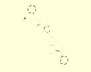 CO/C(=N\c1cc(C)ccc1C)N1CCC(c2nc(C3=NOC(c4ccccc4C#N)C3)cs2)CC1